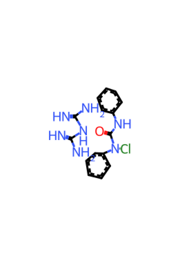 N=C(N)NC(=N)N.O=C(Nc1ccccc1)N(Cl)c1ccccc1